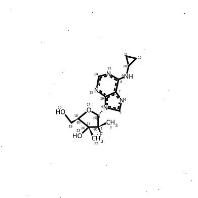 C[C@]1(F)[C@@H](n2cnc3c(NC4CC4)ncnc32)O[C@H](CO)[C@@]1(C)O